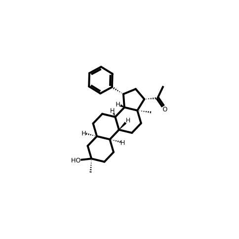 CC(=O)[C@H]1C[C@@H](c2ccccc2)[C@H]2[C@@H]3CC[C@@H]4C[C@](C)(O)CC[C@@H]4[C@H]3CC[C@@]21C